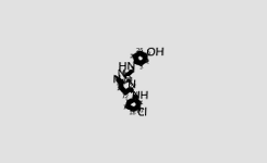 Oc1ccc(NCc2nnc3ccc(Nc4cccc(Cl)c4)nn23)cc1